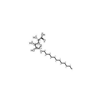 CCCCCCCCCCCCO[C@H]1O[C@H]([C@H](O)C(=O)O)[C@H](O)[C@@H]1O